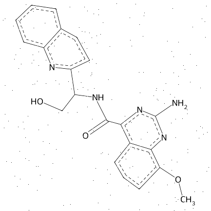 COc1cccc2c(C(=O)NC(CO)c3ccc4ccccc4n3)nc(N)nc12